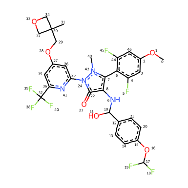 COc1cc(F)c(-c2c(NC(O)c3ccc(OC(F)F)cc3)c(=O)n(-c3cc(OCC4(C)COC4)cc(C(F)(F)F)n3)n2C)c(F)c1